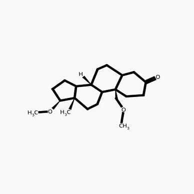 COC[C@]12CCC(=O)CC1CC[C@@H]1C2CC[C@@]2(C)C1CC[C@@H]2OC